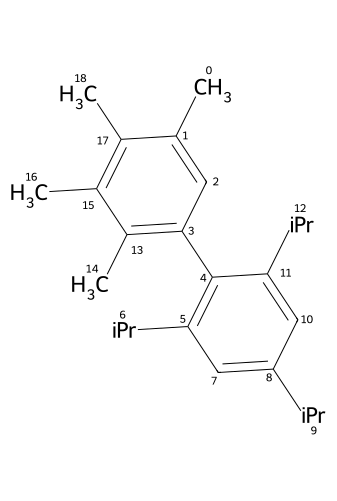 Cc1cc(-c2c(C(C)C)cc(C(C)C)cc2C(C)C)c(C)c(C)c1C